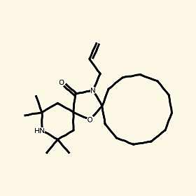 C=CCN1C(=O)C2(CC(C)(C)NC(C)(C)C2)OC12CCCCCCCCCCC2